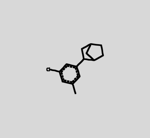 Cc1cc(Cl)cc(C2CC3CCC2C3)c1